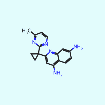 Cc1ccnc(C2(c3cc(N)c4ccc(N)cc4n3)CC2)n1